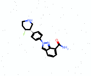 NC(=O)c1cccc2cn(-c3ccc([C@H]4CNCC[C@H]4F)cc3)nc12